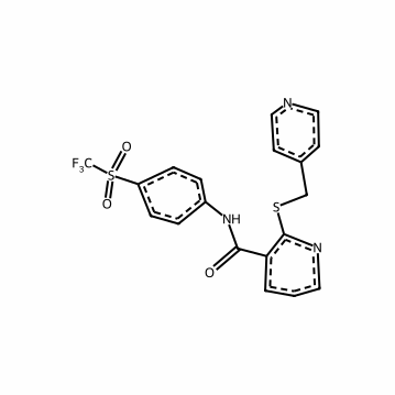 O=C(Nc1ccc(S(=O)(=O)C(F)(F)F)cc1)c1cccnc1SCc1ccncc1